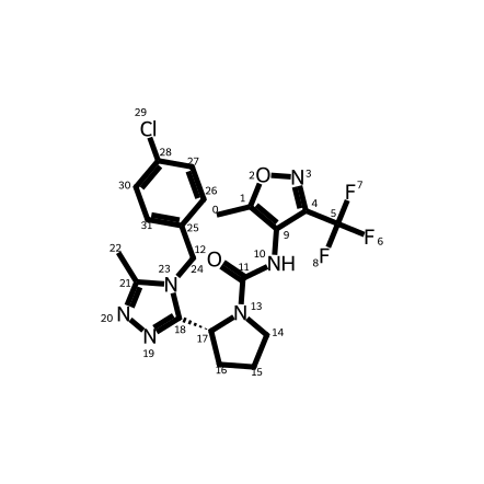 Cc1onc(C(F)(F)F)c1NC(=O)N1CCC[C@@H]1c1nnc(C)n1Cc1ccc(Cl)cc1